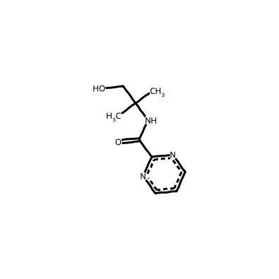 CC(C)(CO)NC(=O)c1ncccn1